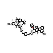 CCc1cccc2cc(O)cc(-c3ncc4c(N5CC6CCC(C5)N6C=O)nc(OCCN5CCC(CC6CN(c7cc([C@@H](C(=O)N8C[C@H](O)C[C@H]8C(=O)N[C@@H](C)c8ccc(-c9scnc9C)cc8)C(C)C)on7)C6)CC5)nc4c3F)c12